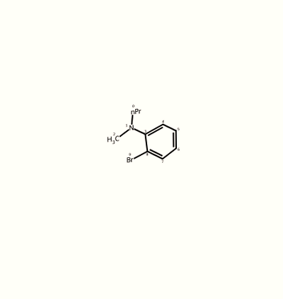 CCCN(C)c1ccccc1Br